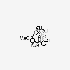 COc1cc2ncnc(Nc3cccc(Cl)c3F)c2cc1O[C@@H]1CN(C)[C@@](C)(C(=O)O)C1